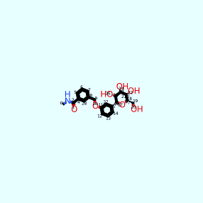 CNC(=O)c1cccc(COc2cccc([C@H]3O[C@H](CO)[C@@H](O)[C@H](O)[C@H]3O)c2)c1